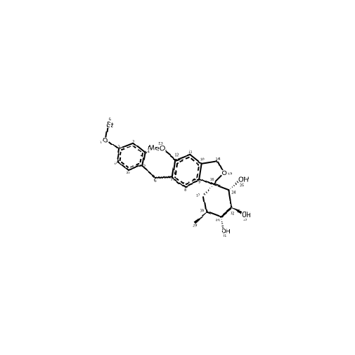 CCOc1ccc(Cc2cc3c(cc2OC)CO[C@]32C[C@H](C)[C@@H](O)[C@H](O)[C@H]2O)cc1